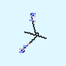 CCCCCC=CCC1C(CCCCCCCC(=O)NCCN2CCNC2=O)C=CC(CCCCCC)C1CCCCCCCOCNCCN1CCNC1=O